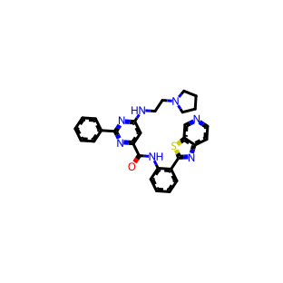 O=C(Nc1ccccc1-c1nc2ccncc2s1)c1cc(NCCN2CCCC2)nc(-c2ccccc2)n1